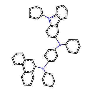 c1ccc(N(c2ccc(N(c3ccccc3)c3cc4ccccc4c4ccccc34)cc2)c2ccc3c(c2)c2ccccc2n3-c2ccccc2)cc1